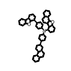 c1ccc2c(c1)ccc1cc(-c3ccc(N(c4ccc(-c5cccc6c5oc5ccccc56)cc4)c4cccc5oc6c7ccccc7ccc6c45)cc3)ccc12